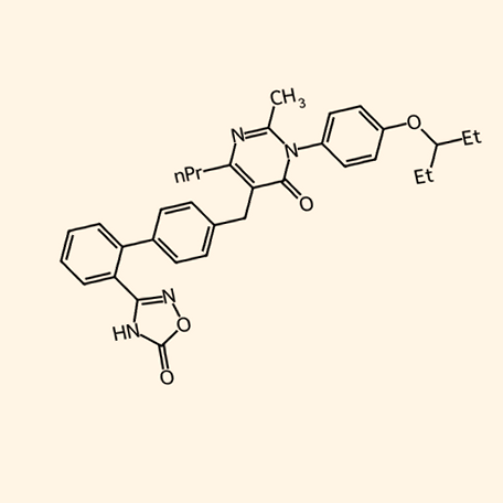 CCCc1nc(C)n(-c2ccc(OC(CC)CC)cc2)c(=O)c1Cc1ccc(-c2ccccc2-c2noc(=O)[nH]2)cc1